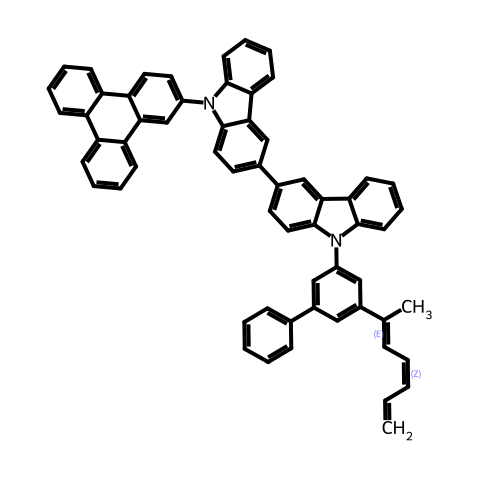 C=C/C=C\C=C(/C)c1cc(-c2ccccc2)cc(-n2c3ccccc3c3cc(-c4ccc5c(c4)c4ccccc4n5-c4ccc5c6ccccc6c6ccccc6c5c4)ccc32)c1